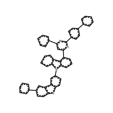 c1ccc(-c2ccc(-c3nc(-c4ccccc4)cc(-c4cccc5c4c4ccccc4n5-c4ccc5sc6ccc(-c7ccccc7)cc6c5c4)n3)cc2)cc1